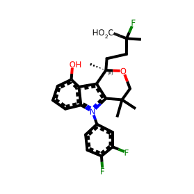 CC(F)(CC[C@@]1(C)OCC(C)(C)c2c1c1c(O)cccc1n2-c1ccc(F)c(F)c1)C(=O)O